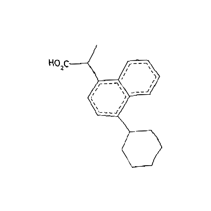 CC(C(=O)O)c1ccc(C2CCCCC2)c2ccccc12